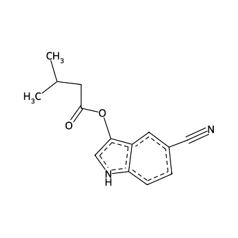 CC(C)CC(=O)Oc1c[nH]c2ccc(C#N)cc12